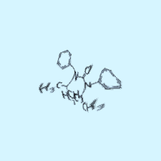 CC(C)N(C(=O)N(c1ccccc1)C(C)C)c1ccccc1